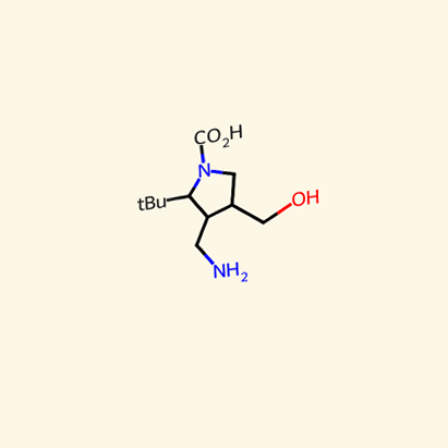 CC(C)(C)C1C(CN)C(CO)CN1C(=O)O